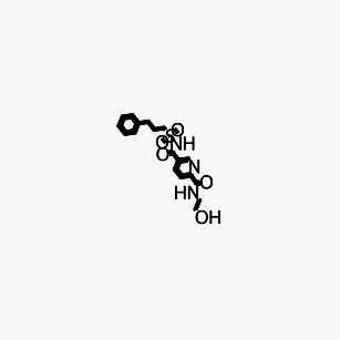 O=C(NS(=O)(=O)CCCc1ccccc1)c1ccc(C(=O)NCCO)nc1